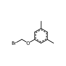 Cc1cc(C)cc(OCBr)c1